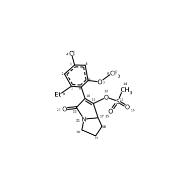 CCc1cc(Cl)cc(OC(F)(F)F)c1C1=C(OS(C)(=O)=O)C2CCCN2C1=O